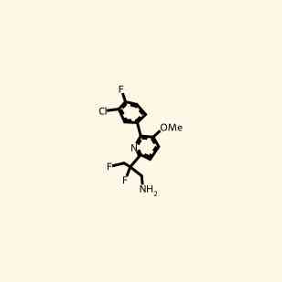 COc1ccc(C(F)(CN)CF)nc1-c1ccc(F)c(Cl)c1